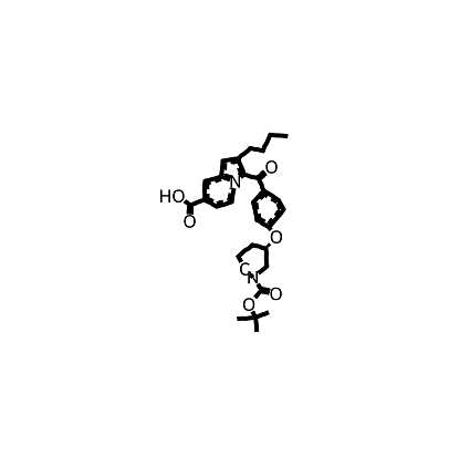 CCCCc1cc2cc(C(=O)O)ccn2c1C(=O)c1ccc(O[C@@H]2CCCN(C(=O)OC(C)(C)C)C2)cc1